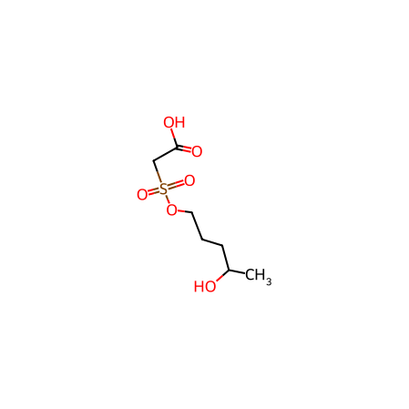 CC(O)CCCOS(=O)(=O)CC(=O)O